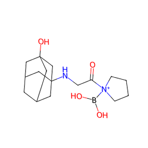 O=C(CNC12CC3CC(CC(O)(C3)C1)C2)[N+]1(B(O)O)CCCC1